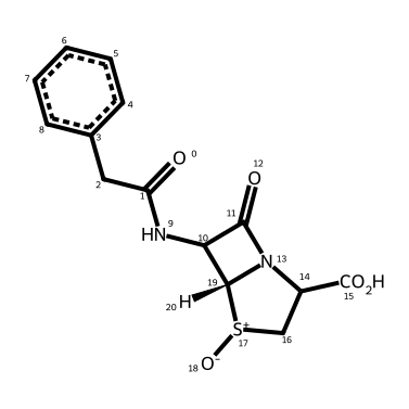 O=C(Cc1ccccc1)NC1C(=O)N2C(C(=O)O)C[S+]([O-])[C@H]12